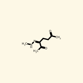 CN/N=C(/CCC(C)=O)C(C)=O